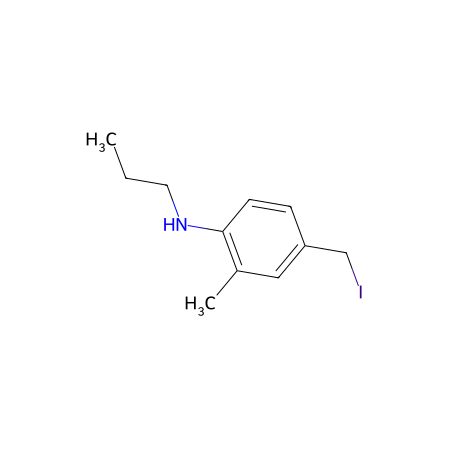 CCCNc1ccc(CI)cc1C